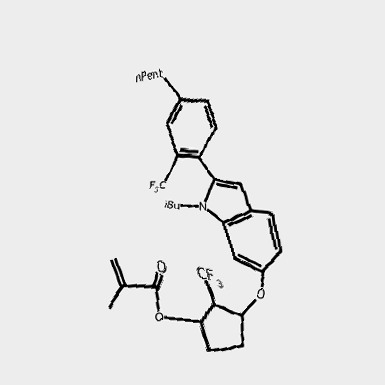 C=C(C)C(=O)OC1CCC(Oc2ccc3cc(-c4ccc(CCCCC)cc4C(F)(F)F)n(C(C)CC)c3c2)C1C(F)(F)F